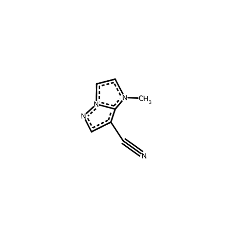 Cn1ccn2ncc(C#N)c12